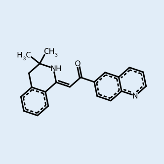 CC1(C)Cc2ccccc2C(=CC(=O)c2ccc3ncccc3c2)N1